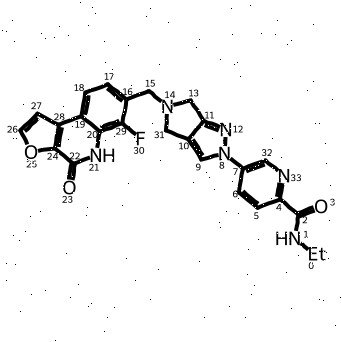 CCNC(=O)c1ccc(-n2cc3c(n2)CN(Cc2ccc4c([nH]c(=O)c5occc54)c2F)C3)cn1